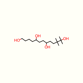 CC(C)(O)C(C)(C)CCC(O)CCC(O)CCCCO